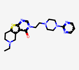 CCN1CCc2sc3ncn(CCN4CCN(c5ncccn5)CC4)c(=O)c3c2C1